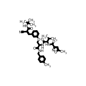 Cc1ccc(CNC(=O)C(COc2cccc(C=C(C#N)C(=O)NC(C)(C)C)c2)NC(=O)C(NC(=O)c2cc(C)on2)C(C)C)cc1